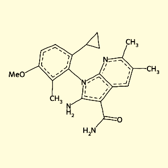 COc1ccc(C2CC2)c(-n2c(N)c(C(N)=O)c3cc(C)c(C)nc32)c1C